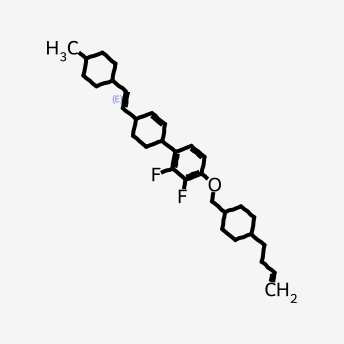 C=CCCC1CCC(COc2ccc(C3C=CC(/C=C/C4CCC(C)CC4)CC3)c(F)c2F)CC1